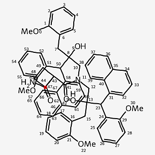 COc1ccccc1CC(O)(CN(CC(O)(Cc1ccccc1OC)C(c1ccccc1OC)c1cccc2ccccc12)C(=O)C1(C(N)=O)CCC1)C(c1ccccc1OC)c1cccc2ccccc12